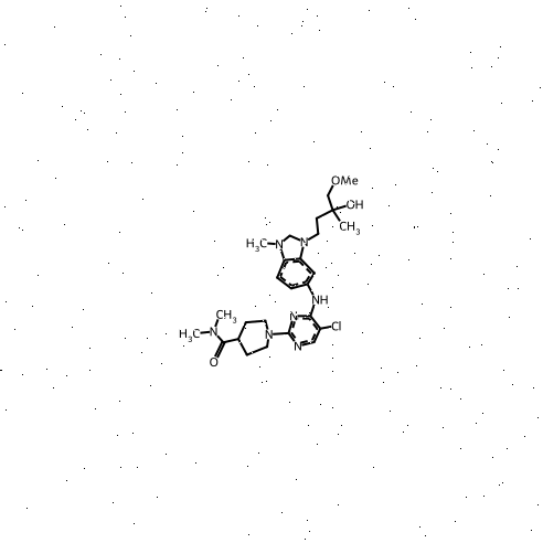 COCC(C)(O)CCN1CN(C)c2ccc(Nc3nc(N4CCC(C(=O)N(C)C)CC4)ncc3Cl)cc21